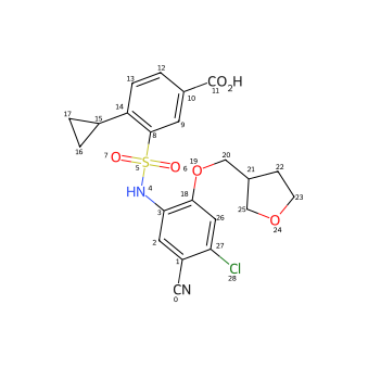 N#Cc1cc(NS(=O)(=O)c2cc(C(=O)O)ccc2C2CC2)c(OCC2CCOC2)cc1Cl